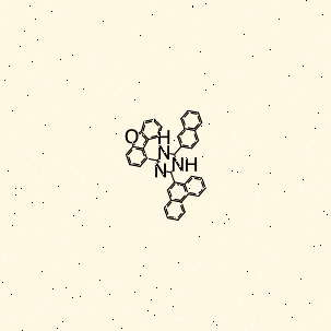 c1ccc2cc(C3NC(c4cccc5oc6ccccc6c45)=NC(c4cc5ccccc5c5ccccc45)N3)ccc2c1